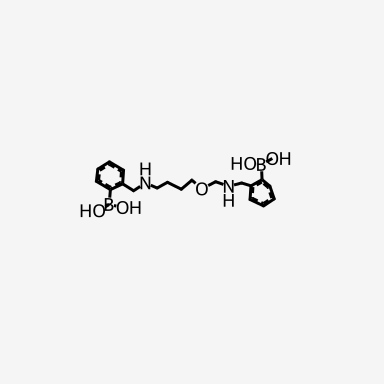 OB(O)c1ccccc1CNCCCCOCNCc1ccccc1B(O)O